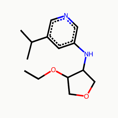 CCOC1COCC1Nc1cncc(C(C)C)c1